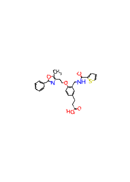 Cc1oc(-c2ccccc2)nc1CCOc1ccc(CCC(=O)O)cc1CNC(=O)c1cccs1